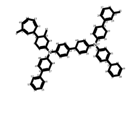 CC1=CC(C2CC=C(N(c3ccc(C4C=CC(N(C5=CCC(C6=CC(C)CC=C6)C=C5)c5ccc(C6C=CC=CC6)cc5)=CC4)cc3)C3C=CC(c4ccccc4)=CC3)CC2C)C=CC=C1